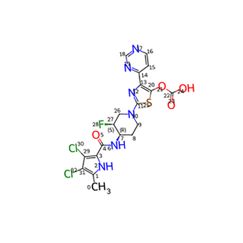 Cc1[nH]c(C(=O)N[C@@H]2CCN(c3nc(-c4ccncn4)c(OC(=O)O)s3)C[C@@H]2F)c(Cl)c1Cl